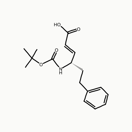 CC(C)(C)OC(=O)N[C@H](C=CC(=O)O)CCc1ccccc1